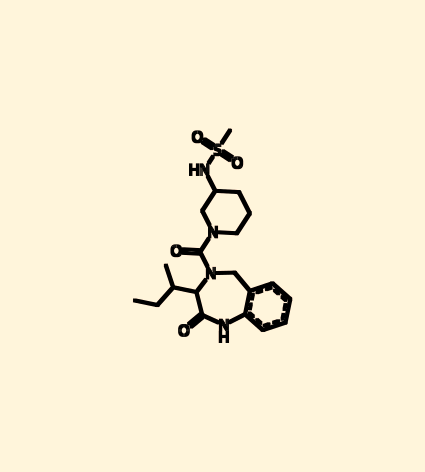 CCC(C)C1C(=O)Nc2ccccc2CN1C(=O)N1CCCC(NS(C)(=O)=O)C1